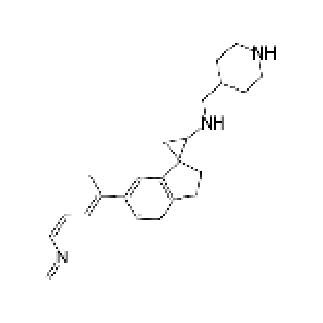 C=N/C=C\C=C(/C)c1ccc2c(c1)C1(CC2)CC1NCC1CCNCC1